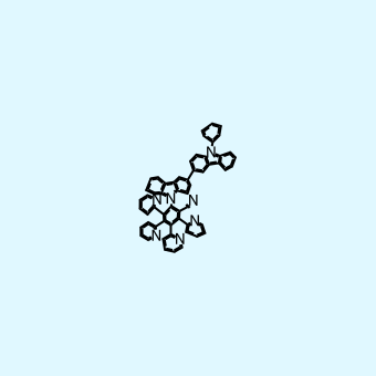 N#Cc1c(-c2ccccn2)c(-c2ccccn2)c(-c2ccccn2)c(-c2ccccn2)c1-n1c2ccccc2c2cc(-c3ccc4c(c3)c3ccccc3n4-c3ccccc3)ccc21